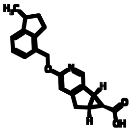 CC1CCc2c(COc3cc4c(cn3)[C@H]3[C@@H](C4)[C@@H]3C(=O)O)cccc21